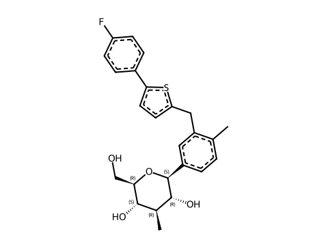 Cc1ccc([C@@H]2O[C@H](CO)[C@@H](O)[C@H](C)[C@H]2O)cc1Cc1ccc(-c2ccc(F)cc2)s1